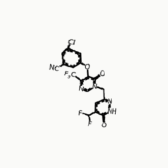 N#Cc1cc(Cl)cc(Oc2c(C(F)(F)F)ncn(Cc3cc(C(F)F)c(=O)[nH]n3)c2=O)c1